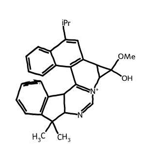 COC1(O)C2c3cc(C(C)C)c4ccccc4c3C3=[N+](C=NC4C3c3c(ccc5ccccc35)C4(C)C)C21